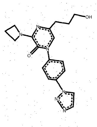 O=c1c(N2CCC2)nc(CCCO)cn1-c1ccc(-n2ccnn2)cc1